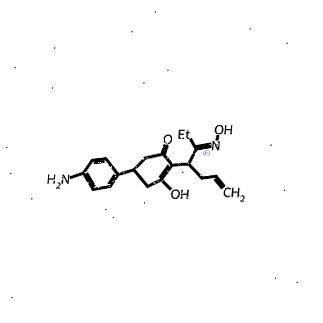 C=CCC(C1=C(O)CC(c2ccc(N)cc2)CC1=O)/C(CC)=N/O